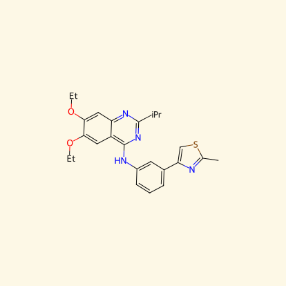 CCOc1cc2nc(C(C)C)nc(Nc3cccc(-c4csc(C)n4)c3)c2cc1OCC